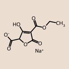 CCOC(=O)C1=C(O)C(C(=O)[O-])OC1=O.[Na+]